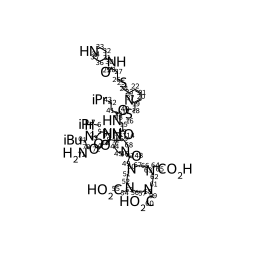 CC[C@H](C)[C@H](NC(=O)[C@H](CC(C)C)NC(=O)C1(NC(=O)[C@@H](CSCc2cccc(CSCCC(=O)NC3CCNCC3)n2)NC(=O)CCC(C)C)CCN(C(=O)CN2CCN(CC(=O)O)CCN(CC(=O)O)CCN(CC(=O)O)CC2)CC1)C(N)=O